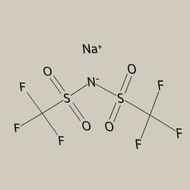 O=S(=O)([N-]S(=O)(=O)C(F)(F)F)C(F)(F)F.[Na+]